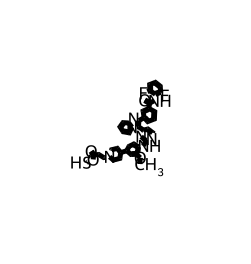 COC1=CC(C2CCN(CCC(=O)OS)CC2)CC=C1Nc1nccc(-c2c(-c3cccc(C(=O)Nc4c(F)cccc4F)c3)nc3ccccn23)n1